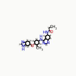 C=CC(=O)Nc1ccc2ncnc(Nc3ccc(Oc4ccc5nc[nH]c5c4)c(C)c3)c2c1